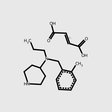 CCCN(Cc1ccccc1C)C1CCNCC1.O=C(O)/C=C/C(=O)O